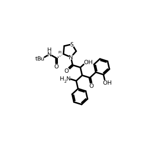 CC(C)(C)NC(=O)[C@@H]1CSCN1C(=O)C(O)C(C(=O)c1ccccc1O)C(N)c1ccccc1